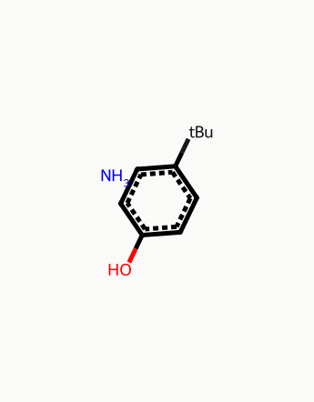 CC(C)(C)c1ccc(O)cc1.N